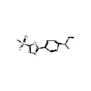 CCC(C)c1ccc(-c2nnc(S(C)(=O)=O)o2)cc1